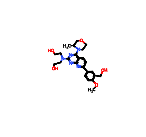 COc1ccc(-c2ccc3c(N4CCOC[C@@H]4C)nc(N(CCO)CCO)nc3n2)cc1CO